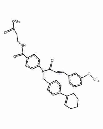 COC(=O)CCNC(=O)c1ccc(N(Cc2ccc(C3=CCCCC3)cc2)C(=O)/C=C/c2cccc(OC(F)(F)F)c2)cc1